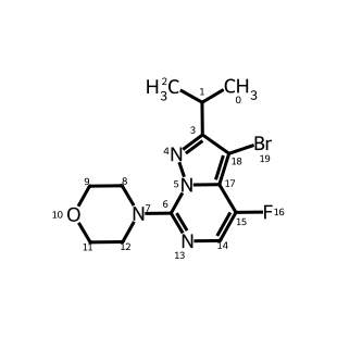 CC(C)c1nn2c(N3CCOCC3)ncc(F)c2c1Br